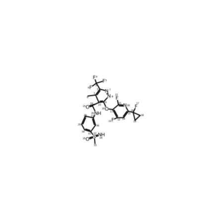 Cc1c(C(F)(F)F)nnc(Oc2c(F)cc(C3(F)CC3)nc2F)c1C(=O)Nc1cccc(S(C)(=N)=O)c1